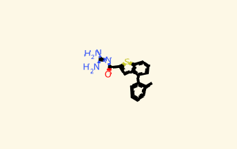 Cc1ccccc1-c1cccc2sc(C(=O)N=C(N)N)cc12